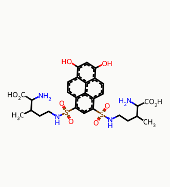 CC(CCNS(=O)(=O)c1cc(S(=O)(=O)NCCC(C)C(N)C(=O)O)c2ccc3c(O)cc(O)c4ccc1c2c43)C(N)C(=O)O